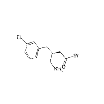 CC(C)C(=O)C[C@@H](CN)Cc1cccc(Cl)c1